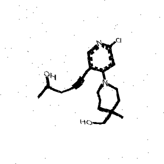 CC(O)CC#Cc1cnc(Cl)cc1N1CCC(C)(CO)CC1